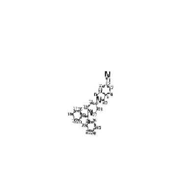 N#Cc1ccc2c(c1)CN(C1CCN(C(c3ccccc3)c3ccccc3)CC1)C2